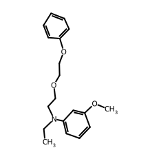 CCN(CCOCCOc1ccccc1)c1cccc(OC)c1